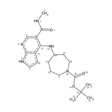 CNC(=O)c1cnc2[nH]ccc2c1NC1CCCN(C(=O)OC(C)(C)C)CC1